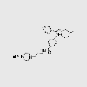 CCCN1CCN(CCCNC(=O)c2ccc(-n3c(-c4ccccc4)cc4c3CCC(C)C4)cc2)CC1